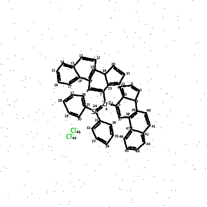 C1=CC2C(=C1)[C]([Zr+2]([C]1=Cc3c(ccc4ccccc34)C3C=CC=C13)=[Si](c1ccccc1)c1ccccc1)=Cc1c2ccc2ccccc12.[Cl-].[Cl-]